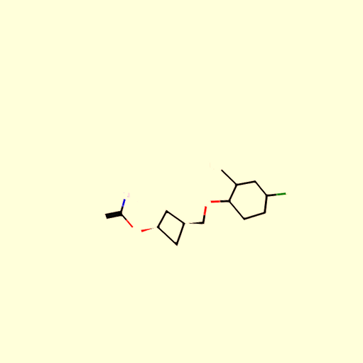 C=C(N)O[C@H]1C[C@@H](COC2CCC(Cl)CC2C)C1